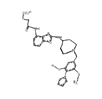 CCOc1cc(CN2CCC(Nc3nc4c(NC(=O)CCC(=O)O)cccc4o3)CC2)cc(OCC)c1-n1cccc1